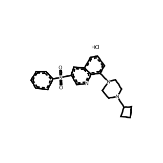 Cl.O=S(=O)(c1ccccc1)c1cnc2c(N3CCN(C4CCC4)CC3)cccc2c1